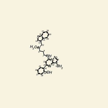 Bc1cnn2c(NCCCN(C)Cc3csc4ccccc34)cc(-c3ccccc3O)nc12